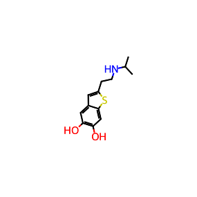 CC(C)NCCc1cc2cc(O)c(O)cc2s1